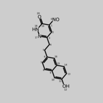 O=Nc1cc(CCc2ccc3cc(O)ccc3c2)n[nH]c1=O